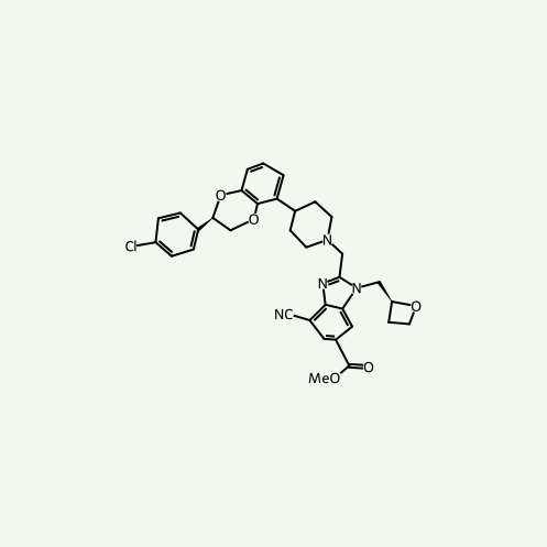 COC(=O)c1cc(C#N)c2nc(CN3CCC(c4cccc5c4OC[C@@H](c4ccc(Cl)cc4)O5)CC3)n(C[C@@H]3CCO3)c2c1